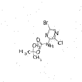 CC(C)(C)OC(=O)Nc1nc(Br)cnc1Cl